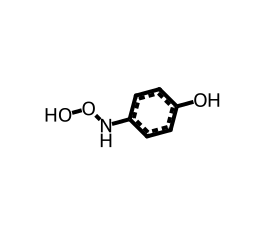 OONc1ccc(O)cc1